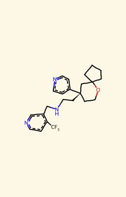 FC(F)(F)c1ccncc1CNCC[C@]1(c2ccncc2)CCOC2(CCCC2)C1